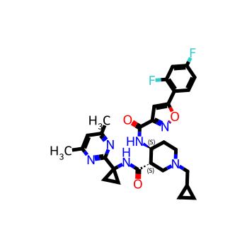 Cc1cc(C)nc(C2(NC(=O)[C@H]3CN(CC4CC4)CC[C@@H]3NC(=O)c3cc(-c4ccc(F)cc4F)on3)CC2)n1